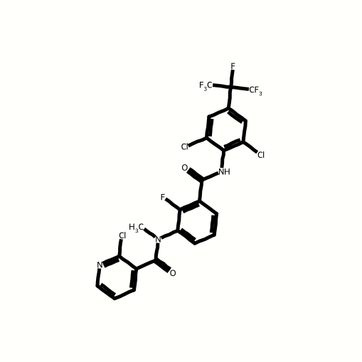 CN(C(=O)c1cccnc1Cl)c1cccc(C(=O)Nc2c(Cl)cc(C(F)(C(F)(F)F)C(F)(F)F)cc2Cl)c1F